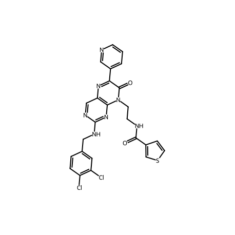 O=C(NCCn1c(=O)c(-c2cccnc2)nc2cnc(NCc3ccc(Cl)c(Cl)c3)nc21)c1ccsc1